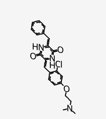 CN(C)CCOc1ccc(C=c2[nH]c(=O)c(=Cc3ccccc3)[nH]c2=O)c(Cl)c1